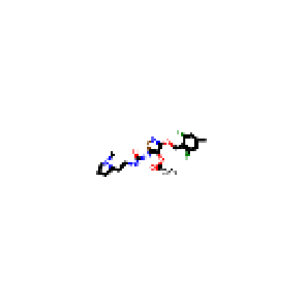 COC(=O)Oc1c(OCc2c(F)cc(C)cc2F)nsc1NC(=O)NCCC1CCCN1C